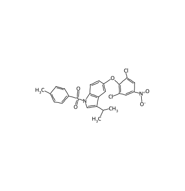 Cc1ccc(S(=O)(=O)n2cc(C(C)C)c3cc(Oc4c(Cl)cc([N+](=O)[O-])cc4Cl)ccc32)cc1